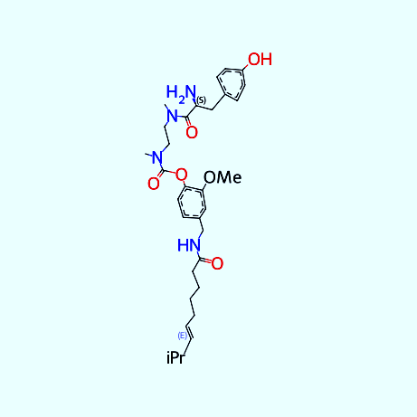 COc1cc(CNC(=O)CCCC/C=C/C(C)C)ccc1OC(=O)N(C)CCN(C)C(=O)[C@@H](N)Cc1ccc(O)cc1